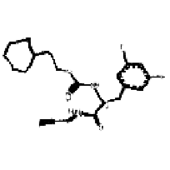 C#CCNC(=O)[C@H](Cc1cc(F)cc(F)c1)NC(=O)OCCC1CCCCC1